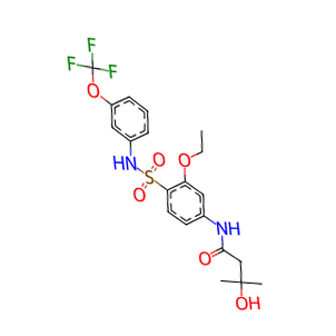 CCOc1cc(NC(=O)CC(C)(C)O)ccc1S(=O)(=O)Nc1cccc(OC(F)(F)F)c1